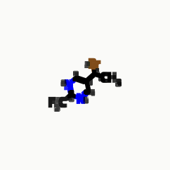 CC(Br)c1cnc(C(F)(F)F)nc1